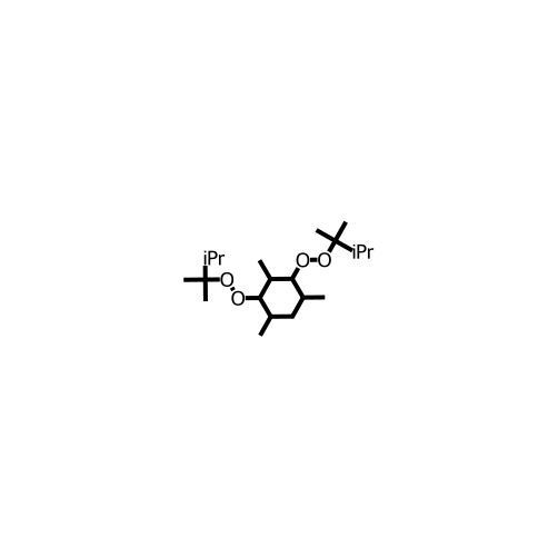 CC1CC(C)C(OOC(C)(C)C(C)C)C(C)C1OOC(C)(C)C(C)C